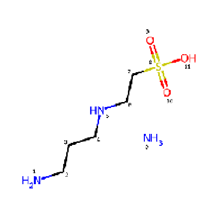 N.NCCCNCCS(=O)(=O)O